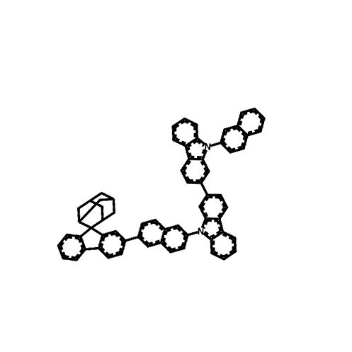 c1ccc2c(c1)-c1ccc(-c3ccc4cc(-n5c6ccccc6c6ccc(-c7ccc8c9ccccc9n(-c9ccc%10ccccc%10c9)c8c7)cc65)ccc4c3)cc1C21C2CC3CC(C2)CC1C3